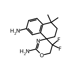 CC1(C)CCC2(N=C(N)OCC2(F)F)c2cc(N)ccc21